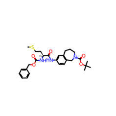 CSCC[C@H](NC(=O)OCc1ccccc1)C(=O)Nc1ccc2c(c1)CCCN(C(=O)OC(C)(C)C)C2